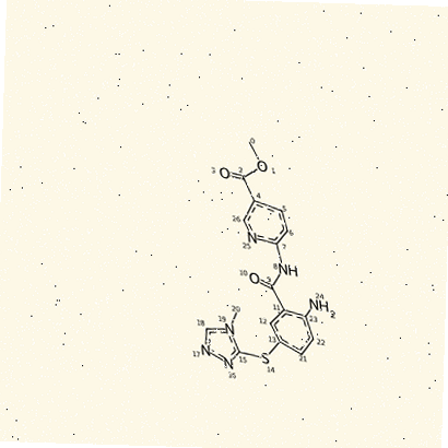 COC(=O)c1ccc(NC(=O)c2cc(Sc3nncn3C)ccc2N)nc1